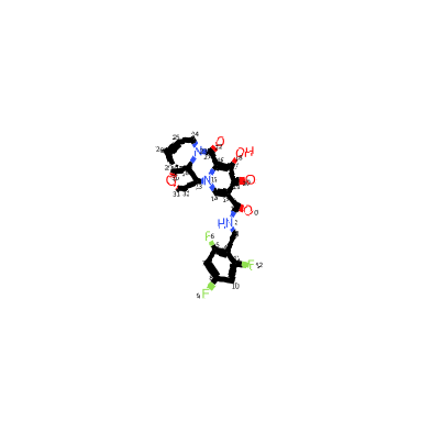 O=C(NCc1c(F)cc(F)cc1F)c1cn2c(c(O)c1=O)C(=O)N1CC=CC[C@]13COCCC23